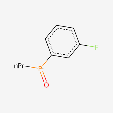 CCC[P](=O)c1cccc(F)c1